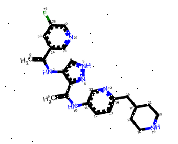 C=C(Nc1c[nH]nc1C(=C)Nc1ccc(CC2CCNCC2)nc1)c1cncc(F)c1